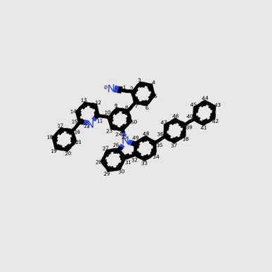 N#Cc1ccccc1-c1cc(-c2cccc(-c3ccccc3)n2)cc(-n2c3ccccc3c3ccc(-c4ccc(-c5ccccc5)cc4)cc32)c1